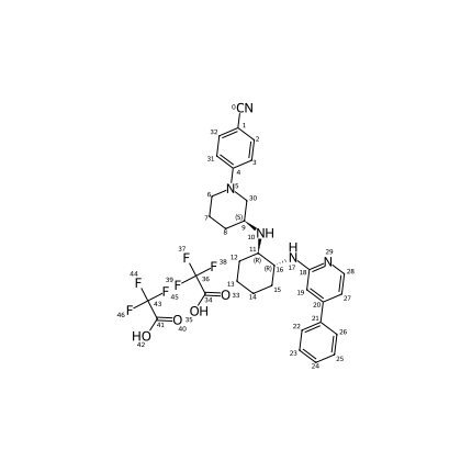 N#Cc1ccc(N2CCC[C@H](N[C@@H]3CCCC[C@H]3Nc3cc(-c4ccccc4)ccn3)C2)cc1.O=C(O)C(F)(F)F.O=C(O)C(F)(F)F